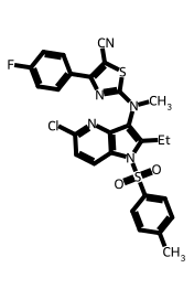 CCc1c(N(C)c2nc(-c3ccc(F)cc3)c(C#N)s2)c2nc(Cl)ccc2n1S(=O)(=O)c1ccc(C)cc1